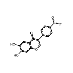 O=c1c(-c2ccc([N+](=O)[O-])cc2)coc2cc(O)c(O)cc12